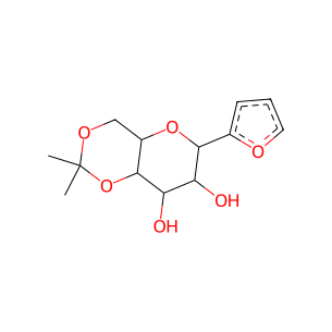 CC1(C)OCC2OC(c3ccco3)C(O)C(O)C2O1